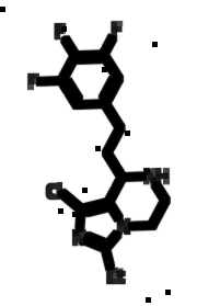 CCc1nc(Cl)c2n1CCNC2CCc1cc(F)c(F)c(F)c1